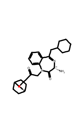 N[C@H]1N=C(CC2CCCCC2)c2ccccc2N(CC(=O)N2CC3CCC(CC3)C2)C1=O